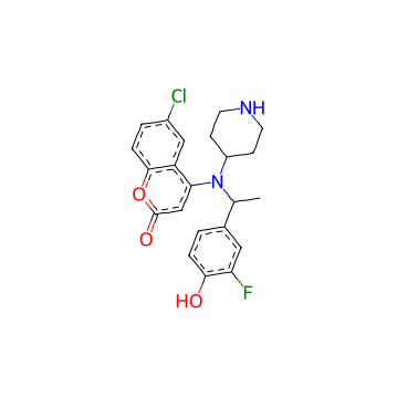 CC(c1ccc(O)c(F)c1)N(c1cc(=O)oc2ccc(Cl)cc12)C1CCNCC1